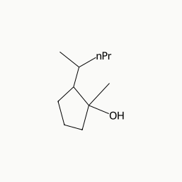 CCCC(C)C1CCCC1(C)O